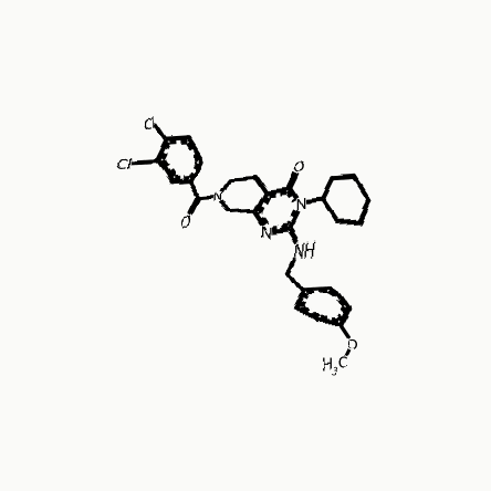 COc1ccc(CNc2nc3c(c(=O)n2C2CCCCC2)CCN(C(=O)c2ccc(Cl)c(Cl)c2)C3)cc1